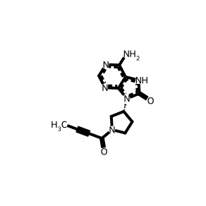 CC#CC(=O)N1CC[C@@H](n2c(=O)[nH]c3c(N)ncnc32)C1